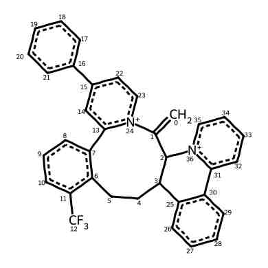 C=C1C2C(CCc3c(cccc3C(F)(F)F)-c3cc(-c4ccccc4)cc[n+]31)c1ccccc1-c1cccc[n+]12